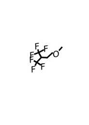 COCCC(C(F)(F)F)C(F)(F)F